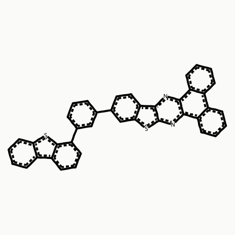 c1cc(-c2ccc3c(c2)sc2nc4c5ccccc5c5ccccc5c4nc23)cc(-c2cccc3c2sc2ccccc23)c1